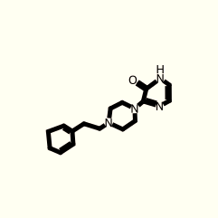 O=c1[nH]ccnc1N1CCN(CCC2=CCCC=C2)CC1